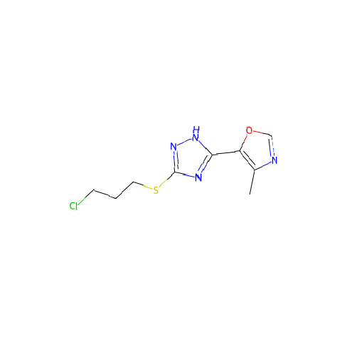 Cc1ncoc1-c1nc(SCCCCl)n[nH]1